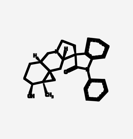 C[C@@]12C[C@@]13C[C@@H]1N(CC[C@@]14C(=O)N(c1ccccc1)c1ccccc14)C[C@@H]3CC[C@@H]2O